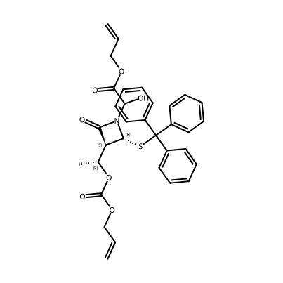 C=CCOC(=O)O[C@H](C)[C@H]1C(=O)N(C(O)C(=O)OCC=C)[C@@H]1SC(c1ccccc1)(c1ccccc1)c1ccccc1